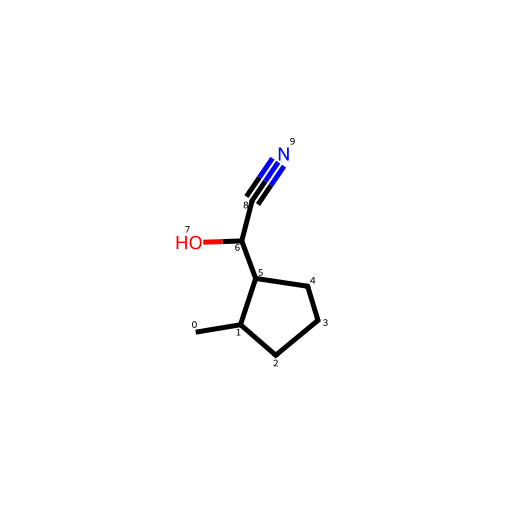 CC1CCCC1C(O)C#N